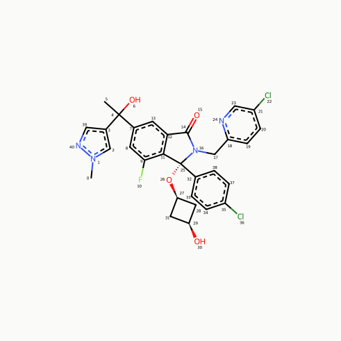 Cn1cc(C(C)(O)c2cc(F)c3c(c2)C(=O)N(Cc2ccc(Cl)cn2)[C@@]3(O[C@H]2C[C@@H](O)C2)c2ccc(Cl)cc2)cn1